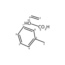 C=C.Cc1ccccc1.O=C(O)O